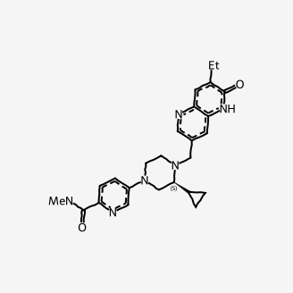 CCc1cc2ncc(CN3CCN(c4ccc(C(=O)NC)nc4)C[C@@H]3C3CC3)cc2[nH]c1=O